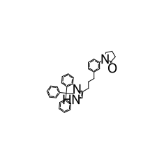 O=C1CCCN1c1cccc(CCCc2c[nH]c(C(c3ccccc3)(c3ccccc3)c3ccccc3)n2)c1